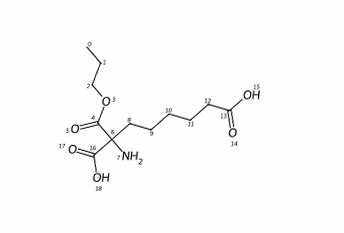 CCCOC(=O)C(N)(CCCCCC(=O)O)C(=O)O